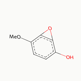 COc1ccc(O)c2c1O2